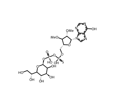 COC1[C@@H](COP(O)(=S)OP(=O)(O)O[C@@H]2OC([C@H](O)CO)[C@@H](O)[C@H](O)C2O)O[C@@H](n2cnc3c(O)ncnc32)[C@H]1OC